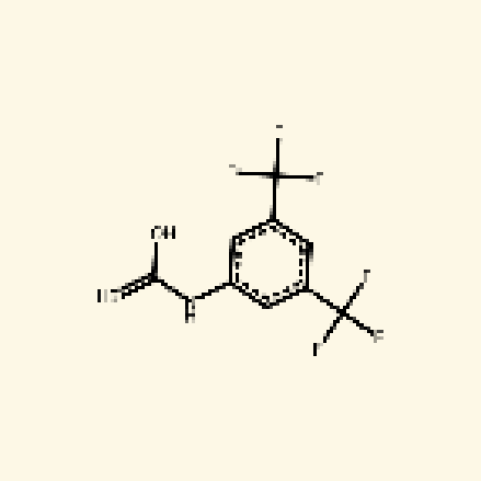 B=C(O)Nc1cc(C(F)(F)F)cc(C(F)(F)F)c1